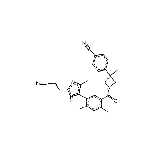 Cc1cc(C)c(-c2[nH]c(CCC#N)nc2C)cc1C(=O)N1CC(F)(c2ccc(C#N)cc2)C1